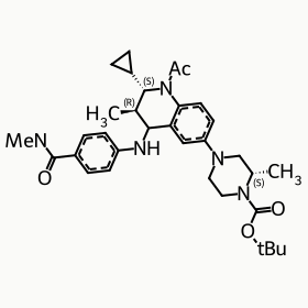 CNC(=O)c1ccc(NC2c3cc(N4CCN(C(=O)OC(C)(C)C)[C@@H](C)C4)ccc3N(C(C)=O)[C@@H](C3CC3)[C@@H]2C)cc1